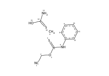 C.N#CCOC(=S)Nc1ccccc1.NC(O)=S